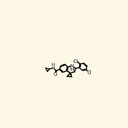 O=C(NC1CC1)c1ccc2c(c1)C1(CC1)CC(c1cc(Cl)ccc1Cl)N2